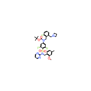 COc1cc(C)ccc1CN(c1ncccn1)S(=O)(=O)c1c(F)cc(N(Cc2c(F)cccc2CN2CCC2)C(=O)OC(C)(C)C)cc1F